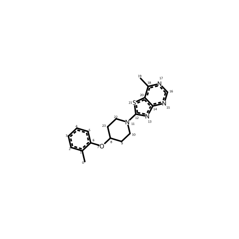 Cc1ccccc1OC1CCN(c2nc3ncnc(C)c3s2)CC1